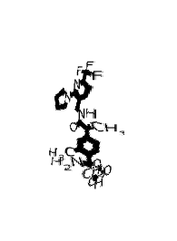 Cc1cc(C(C)C(=O)NCc2ccc(C(F)(F)F)nc2N2CCCC2)ccc1C(C)(N)O[SH](=O)=O